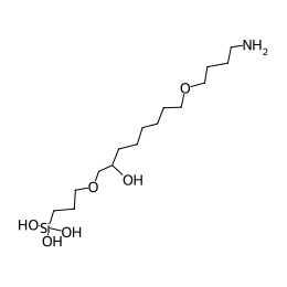 NCCCCOCCCCCCC(O)COCCC[Si](O)(O)O